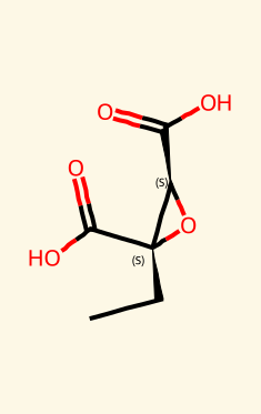 CC[C@]1(C(=O)O)O[C@@H]1C(=O)O